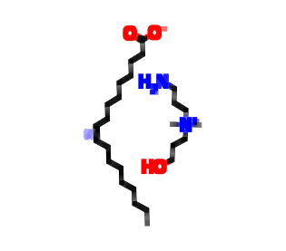 CCCCCCCC/C=C\CCCCCCCC(=O)[O-].C[N+](C)(CCCN)CCCO